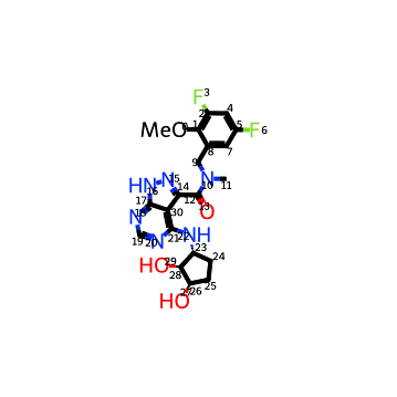 COc1c(F)cc(F)cc1CN(C)C(=O)c1n[nH]c2ncnc(N[C@@H]3CC[C@@H](O)[C@H]3O)c12